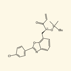 C=CC(=O)[C@H](Cc1cccc2nc(-c3ccc(Cl)cc3)oc12)O[Si](C)(C)C(C)(C)C